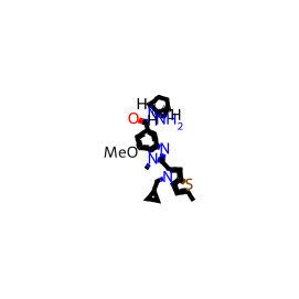 COc1cc(C(=O)N2C[C@H]3CC[C@@H]2[C@@H]3N)cc2nc(-c3cc4sc(C)cc4n3CC3CC3)n(C)c12